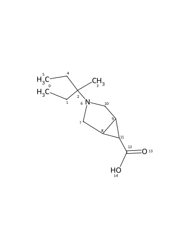 CCC(C)(CC)N1CC2C(C1)C2C(=O)O